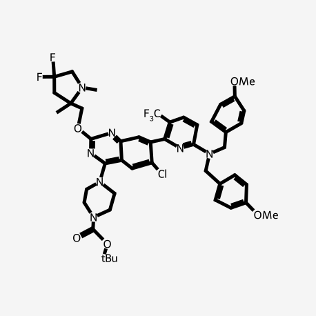 COc1ccc(CN(Cc2ccc(OC)cc2)c2ccc(C(F)(F)F)c(-c3cc4nc(OCC5(C)CC(F)(F)CN5C)nc(N5CCN(C(=O)OC(C)(C)C)CC5)c4cc3Cl)n2)cc1